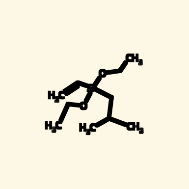 C=C[Si](CC(C)C)(OCC)OCC